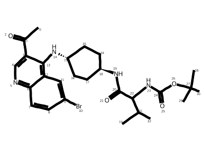 CC(=O)c1cnc2ccc(Br)cc2c1N[C@H]1CC[C@H](NC(=O)C(NC(=O)OC(C)(C)C)C(C)C)CC1